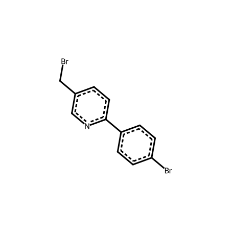 BrCc1ccc(-c2ccc(Br)cc2)nc1